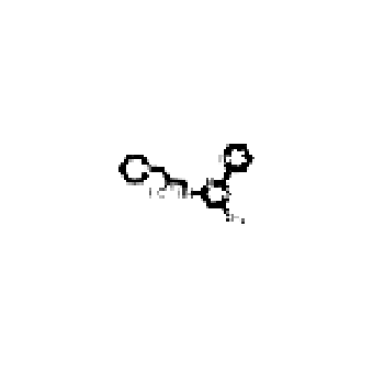 Cc1cc(NC[C@@H](O)CN2CCCCC2)nc(-c2ccccn2)n1